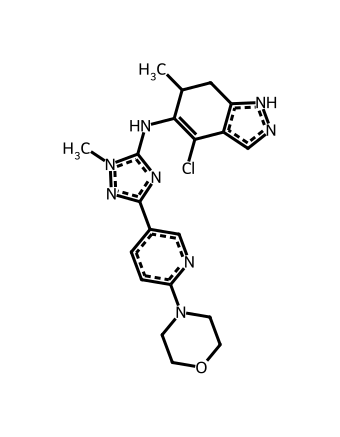 CC1Cc2[nH]ncc2C(Cl)=C1Nc1nc(-c2ccc(N3CCOCC3)nc2)nn1C